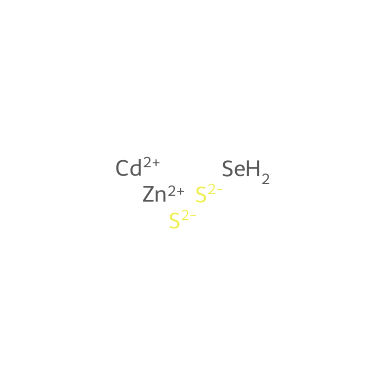 [Cd+2].[S-2].[S-2].[SeH2].[Zn+2]